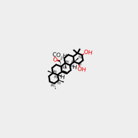 C[C@H]1[C@H](C)CC[C@]2(C)CC[C@]3(COC(=O)O)C(=CC[C@@H]4[C@]5(C)C(CC[C@]43C)C(C)(C)[C@@H](O)C[C@H]5O)[C@H]12